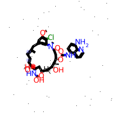 COc1cc2cc(c1Cl)N(C)C(=O)C[C@H](OC(=O)Nc1ccc(N)c3ncccc13)[C@@H](C)[C@@H](O)[C@H](C)[C@@H]1C[C@@](O)(NC(O)O1)[C@H](OC)/C=C/C=C(\C)C2